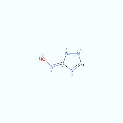 ON=C1N=CN=N1